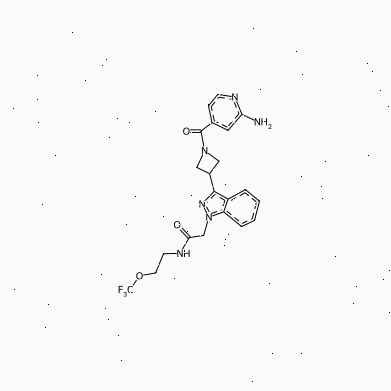 Nc1cc(C(=O)N2CC(c3nn(CC(=O)NCCOC(F)(F)F)c4ccccc34)C2)ccn1